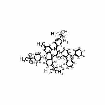 Cc1cc2c3c(c1)N(c1ccc(C(C)(C)C)cc1)c1c(oc4c1ccc1c4c4ccccc4n1-c1ccccc1)B3c1cc(C(C)(C)C)ccc1N2c1ccc(C(C)(C)C)cc1